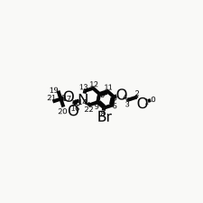 COCCOc1cc(Br)c2c(c1)CCN(C(=O)OC(C)(C)C)C2